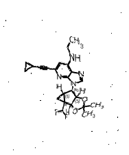 CCNc1cc(C#CC2CC2)nc2c1ncn2[C@H]1[C@@H]2OC(C)(C)O[C@@H]2[C@]2(C(F)F)C[C@H]12